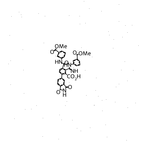 COC(=O)c1cccc(NC(=N)c2c(C(=O)Nc3cccc(C(=O)OC)c3)ccc(-c3ccc4c(c3)C(=O)NC4=O)c2C(=O)O)c1